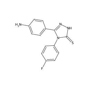 Nc1ccc(-c2n[nH]c(=S)n2-c2ccc(F)cc2)cc1